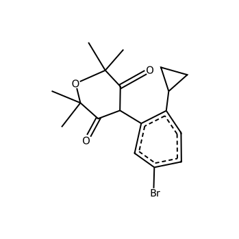 CC1(C)OC(C)(C)C(=O)C(c2cc(Br)ccc2C2CC2)C1=O